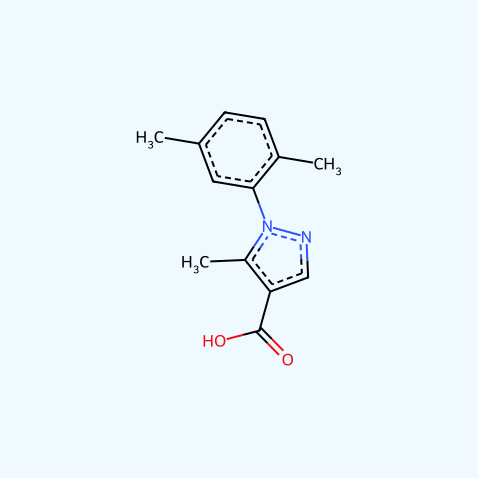 Cc1ccc(C)c(-n2ncc(C(=O)O)c2C)c1